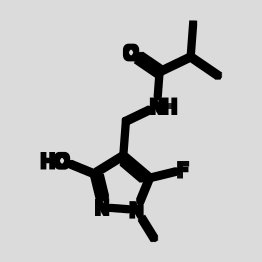 CC(C)C(=O)NCc1c(O)nn(C)c1F